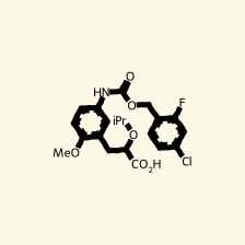 COc1ccc(NC(=O)OCc2ccc(Cl)cc2F)cc1CC(OC(C)C)C(=O)O